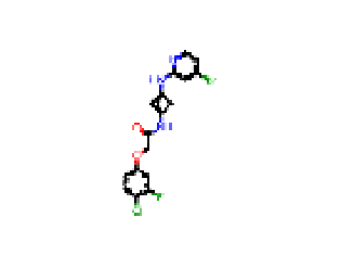 O=C(COc1ccc(Cl)c(F)c1)NC12CC(Nc3cc(Br)ccn3)(C1)C2